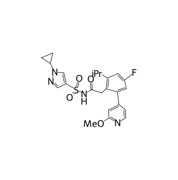 COc1cc(-c2cc(F)cc(C(C)C)c2CC(=O)NS(=O)(=O)c2cnn(C3CC3)c2)ccn1